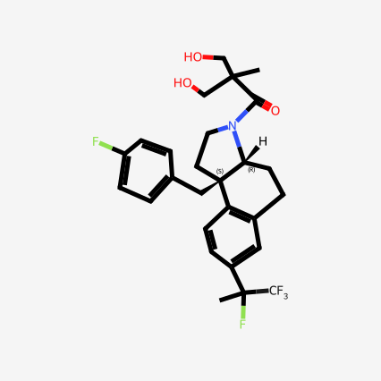 CC(CO)(CO)C(=O)N1CC[C@@]2(Cc3ccc(F)cc3)c3ccc(C(C)(F)C(F)(F)F)cc3CC[C@@H]12